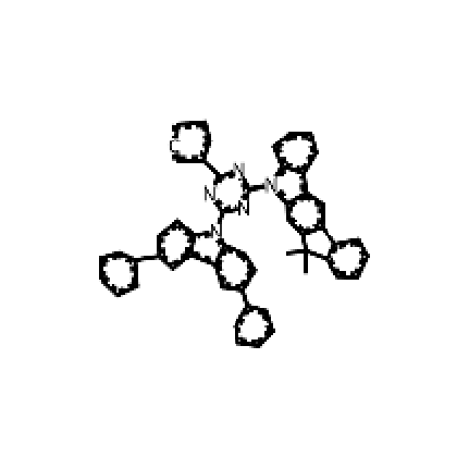 CC1(C)c2ccccc2-c2cc3c4ccccc4n(-c4nc(-c5ccccc5)nc(-n5c6ccc(-c7ccccc7)cc6c6cc(-c7ccccc7)ccc65)n4)c3cc21